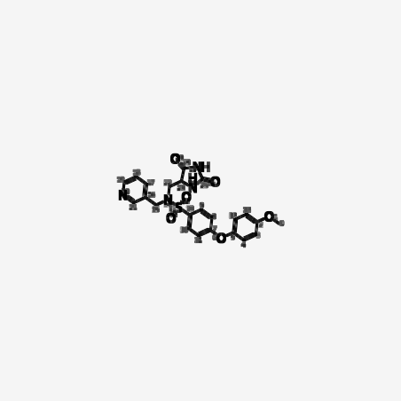 COc1ccc(Oc2ccc(S(=O)(=O)N(Cc3cccnc3)CC3NC(=O)NC3=O)cc2)cc1